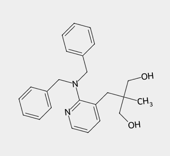 CC(CO)(CO)Cc1cccnc1N(Cc1ccccc1)Cc1ccccc1